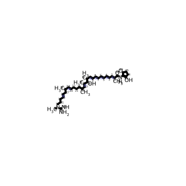 C\C(=C/C=C/C=C/C=C/C=C/C(C)C(O)/C(C)=C/C(C)CCC/C=C/C(C)C/C=C/CCCN(C)C(=N)N)C(=O)NC1=C(O)CCC1=O